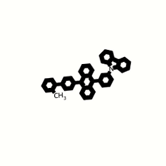 Cc1ccccc1-c1ccc(-c2c3ccccc3c(-c3cccc(-n4c5ccccc5c5ccccc54)c3)c3ccccc23)cc1